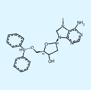 Nc1ncnc2c1N(I)CN2[C@H]1CC(O)[C@@H](CO[SiH](c2ccccc2)c2ccccc2)O1